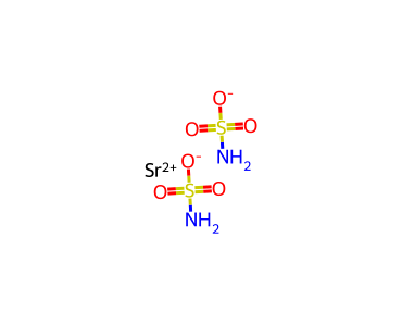 NS(=O)(=O)[O-].NS(=O)(=O)[O-].[Sr+2]